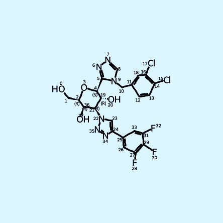 OC[C@H]1O[C@@H](c2nncn2Cc2ccc(Cl)c(Cl)c2)[C@H](O)[C@@H](n2cc(-c3cc(F)c(F)c(F)c3)nn2)[C@H]1O